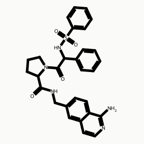 Nc1nccc2cc(CNC(=O)C3CCCN3C(=O)C(NS(=O)(=O)c3ccccc3)c3ccccc3)ccc12